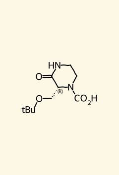 CC(C)(C)OC[C@@H]1C(=O)NCCN1C(=O)O